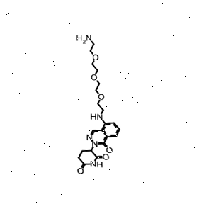 NCCOCCOCCOCCNc1cccc2c(=O)n(C3CCC(=O)NC3=O)ncc12